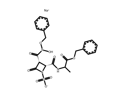 CC(NC(=O)[C@H]1[C@@H](C(=O)N(O)OCc2ccccc2)C(=O)N1S(=O)(=O)[O-])C(=O)OCc1ccccc1.[Na+]